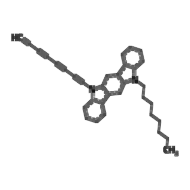 C#CC#CC#CC#Cn1c2ccccc2c2cc3c(cc21)c1ccccc1n3CCCCCCCC